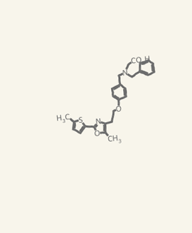 Cc1ccc(-c2nc(CCOc3ccc(CN(CC(=O)O)Cc4ccccc4)cc3)c(C)o2)s1